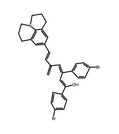 C=C(/C=C/c1cc2c3c(c1)CCCN3CCC2)/C=C(\C=C(/O)c1ccc(Br)cc1)c1ccc(Br)cc1